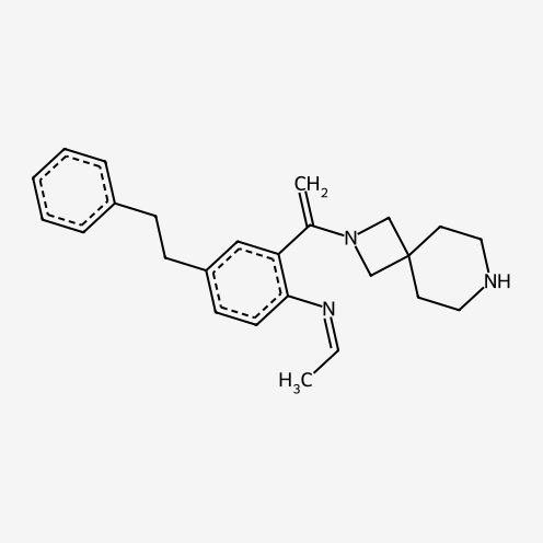 C=C(c1cc(CCc2ccccc2)ccc1/N=C\C)N1CC2(CCNCC2)C1